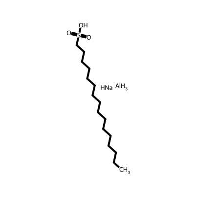 CCCCCCCCCCCCCCCCS(=O)(=O)O.[AlH3].[NaH]